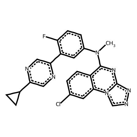 CN(c1ccc(F)c(-c2cnc(C3CC3)cn2)c1)c1nc2nncn2c2cc(Cl)ccc12